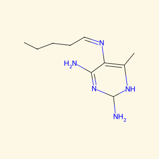 CCCC/C=N\C1=C(C)NC(N)N=C1N